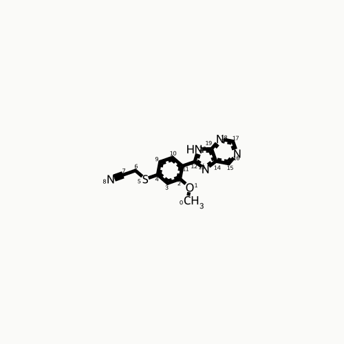 COc1cc(SCC#N)ccc1-c1nc2cncnc2[nH]1